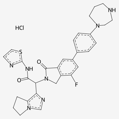 Cl.O=C(Nc1nccs1)C(c1ncn2c1CCC2)N1Cc2c(F)cc(-c3ccc(N4CCCNCC4)cc3)cc2C1=O